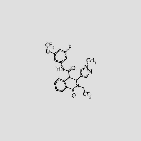 Cn1cc(C2C(C(=O)Nc3cc(F)cc(OC(F)(F)F)c3)c3ccccc3C(=O)N2CC(F)(F)F)cn1